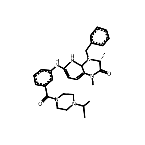 CC(C)N1CCN(C(=O)c2cccc(NC3=CC=C4C(N3)N(Cc3ccccc3)[C@H](C)C(=O)N4C)c2)CC1